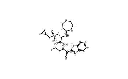 CCCC(NC(=O)[C@H](CS(=O)(=O)CC1CC1)NC1CCCCCC1)C(=O)c1nc2ccccc2o1